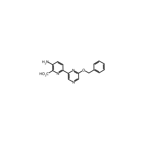 Nc1ccc(-c2cncc(OCc3ccccc3)n2)nc1C(=O)O